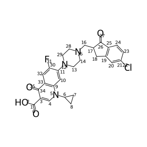 O=C(O)c1cn(C2CC2)c2cc(N3CCN(CC4Cc5cc(Cl)ccc5C4=O)CC3)c(F)cc2c1=O